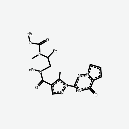 CCCN(CC(CC)N(C)C(=O)OC(C)(C)C)C(=O)c1cnn(-c2nn3cccc3c(=O)[nH]2)c1C